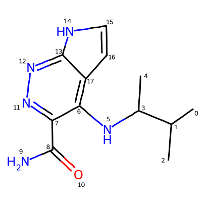 CC(C)C(C)Nc1c(C(N)=O)nnc2[nH]ccc12